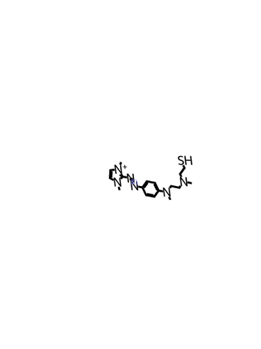 CN(CCS)CCN(C)c1ccc(/N=N/c2n(C)cc[n+]2C)cc1